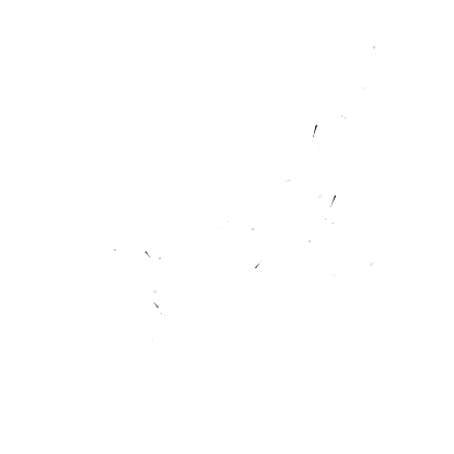 CC(=O)O[C@@]12CO[C@@H]1CC[C@@]1(C)[C@@H]3O[C@H](CN4CC[C@H]4CO)O[C@@H]3C3=C(C)[C@@H](OC(=O)[C@H](O[Si](C)(C)C(C)(C)C)[C@@H](NC(=O)OC(C)C)c4ccccc4)C[C@@](O)([C@@H](OC(=O)c4ccccc4)[C@@H]12)C3(C)C